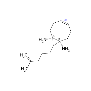 C=C(C)CCCC1[C@]2(N)CC/C=C\CC[C@]12N